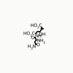 NC(=O)C[C@H](N)C(=O)N[C@H](C[C@H](O)[C@@H]1C[C@H]1C(=O)O)C(=O)O